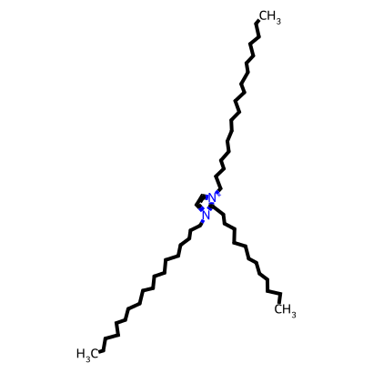 CCCCCCCCCCCCCCCCCCC[n+]1ccn(CCCCCCCCCCCCCCCCCC)c1CCCCCCCCCCCC